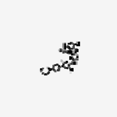 COc1cc(N2CCC(N3CCCN(C)CC3)CC2)c(C)cc1Nc1ncc(Br)c(Nc2cc(Cl)ccc2NS(C)(=O)=O)n1